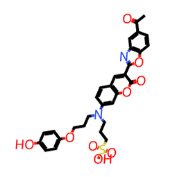 CC(=O)c1ccc2oc(-c3cc4ccc(N(CCCOc5ccc(O)cc5)CCCS(=O)(=O)O)cc4oc3=O)nc2c1